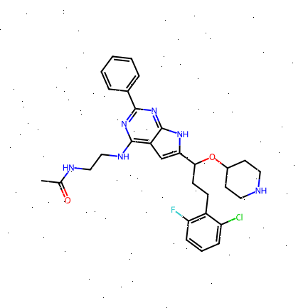 CC(=O)NCCNc1nc(-c2ccccc2)nc2[nH]c(C(CCc3c(F)cccc3Cl)OC3CCNCC3)cc12